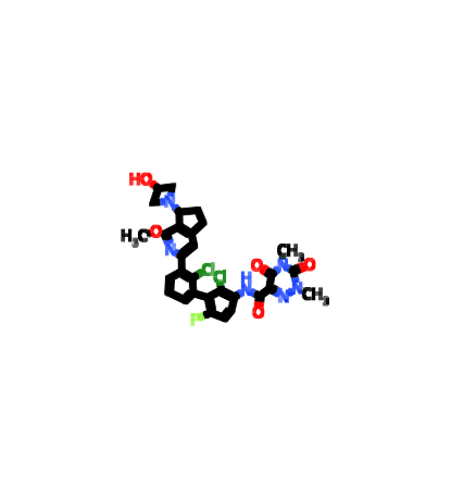 COc1nc(-c2cccc(-c3c(F)ccc(NC(=O)c4nn(C)c(=O)n(C)c4=O)c3Cl)c2Cl)cc2c1C(N1CC(O)C1)CC2